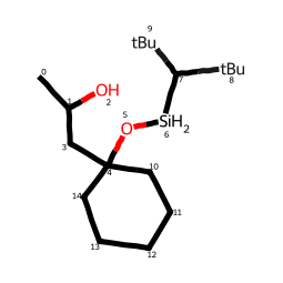 CC(O)CC1(O[SiH2]C(C(C)(C)C)C(C)(C)C)CCCCC1